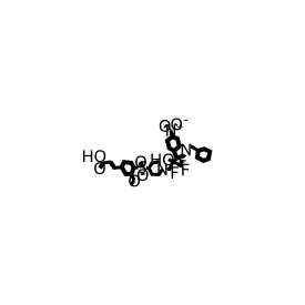 COc1cc(C=CC(=O)O)ccc1S(=O)(=O)C1CCN(CC(O)(c2cn(Cc3ccccc3)c3cc([N+](=O)[O-])ccc23)C(F)(F)F)CC1